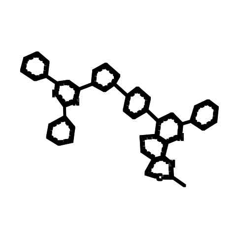 Cc1ccc2ccc3c(-c4ccc(-c5cccc(-c6cc(-c7ccccc7)nc(-c7ccccc7)n6)c5)cc4)cc(-c4ccccc4)nc3c2n1